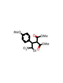 CCC(C(c1ccc(OC)cc1)C(C(=O)OC)C(=O)OC)[N+](=O)[O-]